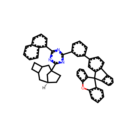 c1cc(-c2ccc3c(c2)C2(c4ccccc4Oc4ccccc42)c2ccccc2-3)cc(-c2nc(-c3cccc4ccccc34)nc(C34CC[C@@H](CC5CCC5C3)C4)n2)c1